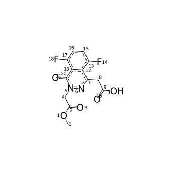 COC(=O)Cn1nc(CC(=O)O)c2c(F)ccc(F)c2c1=O